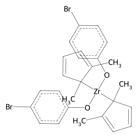 CC1=CC=C[C]1(C)[Zr]([O]c1ccc(Br)cc1)([O]c1ccc(Br)cc1)[C]1(C)C=CC=C1C